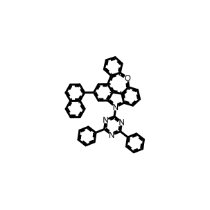 c1ccc(-c2nc(-c3ccccc3)nc(-n3c4cccc5oc6ccccc6c6cc(-c7cccc8ccccc78)cc3c6c54)n2)cc1